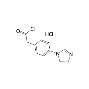 Cl.O=C(Cl)Cc1ccc(N2C=NCC2)cc1